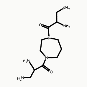 NCC(N)C(=O)N1CCCN(C(=O)C(N)CN)CC1